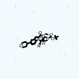 CCOC(=O)c1cc2cc(C3CCOCC3)ccc2n1C1(C#N)[C@@H]2CN(C(=O)OC(C)(C)C)C[C@@H]21